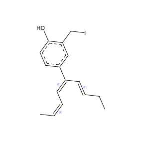 C\C=C/C=C(\C=C\CC)c1ccc(O)c(CI)c1